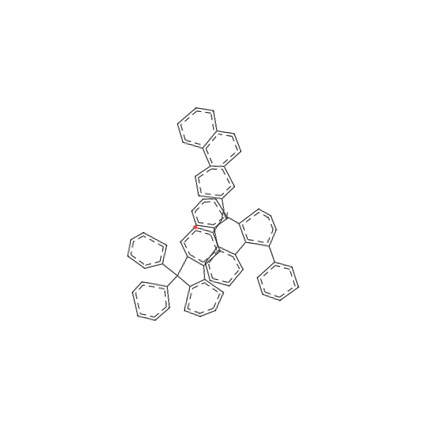 c1ccc(-c2ccccc2-c2c(-c3ccccc3)cccc2N(c2ccc3c(c2)-c2ccccc2C3(c2ccccc2)c2ccccc2)c2ccc3c(ccc4ccccc43)c2)cc1